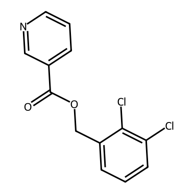 O=C(OCc1cccc(Cl)c1Cl)c1cccnc1